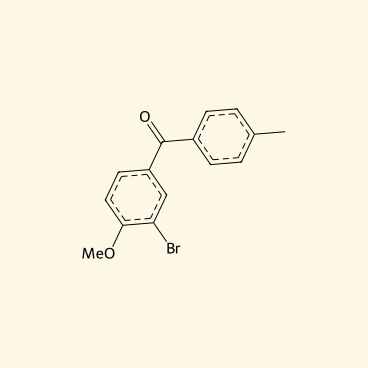 COc1ccc(C(=O)c2ccc(C)cc2)cc1Br